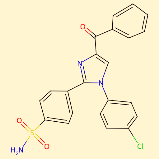 NS(=O)(=O)c1ccc(-c2nc(C(=O)c3ccccc3)cn2-c2ccc(Cl)cc2)cc1